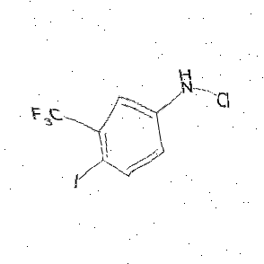 FC(F)(F)c1cc(NCl)ccc1I